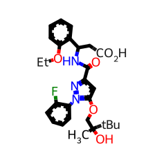 CCOc1ccccc1C(CC(=O)O)NC(=O)c1cc(OCC(C)(O)C(C)(C)C)n(-c2ccccc2F)n1